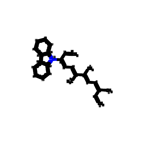 C=C\C(C)=C/C=C(C)/C(C)=C/C=C(\C=C)n1c2ccccc2c2ccccc21